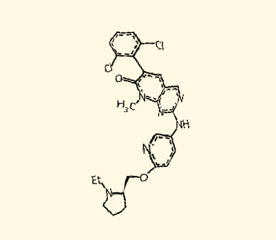 CCN1CCC[C@@H]1COc1ccc(Nc2ncc3cc(-c4c(Cl)cccc4Cl)c(=O)n(C)c3n2)cn1